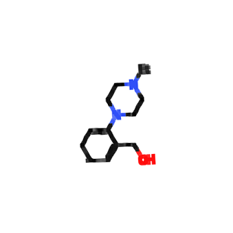 CCN1CCN(C2=CC[CH]C=C2CO)CC1